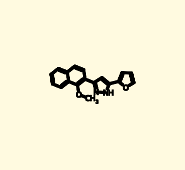 COc1c(-c2cc(-c3ccco3)[nH]n2)ccc2ccccc12